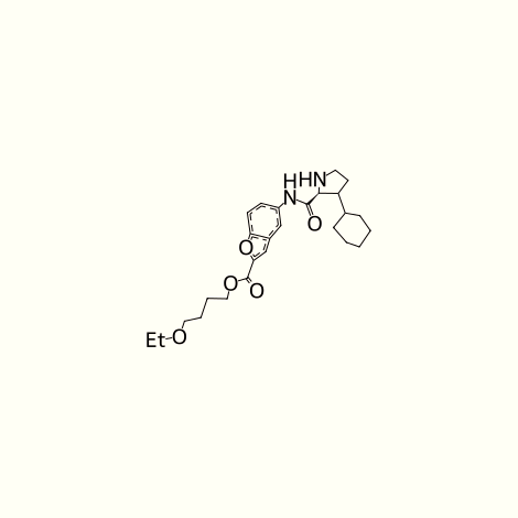 CCOCCCCOC(=O)c1cc2cc(NC(=O)[C@H]3NCCC3C3CCCCC3)ccc2o1